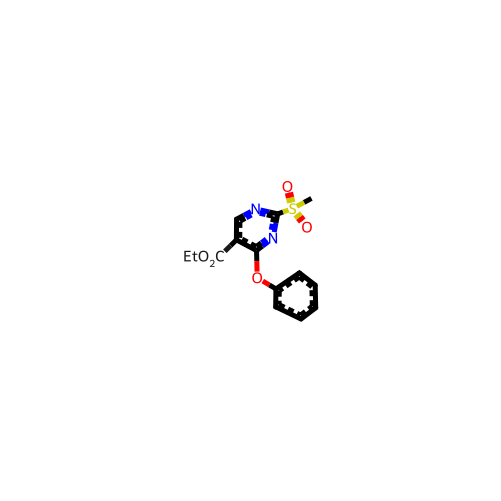 CCOC(=O)c1cnc(S(C)(=O)=O)nc1Oc1ccccc1